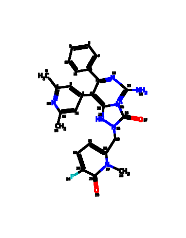 Cc1cc(-c2c(-c3ccccc3)nc(N)[n+]3c(=O)n(Cc4ccc(F)c(=O)n4C)[nH]c23)cc(C)n1